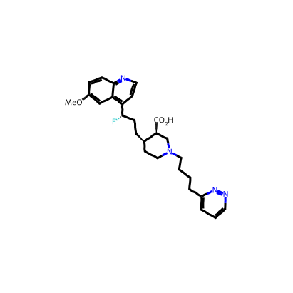 COc1ccc2nccc([C@@H](F)CC[C@@H]3CCN(CCCCc4cccnn4)C[C@@H]3C(=O)O)c2c1